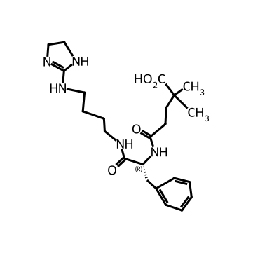 CC(C)(CCC(=O)N[C@H](Cc1ccccc1)C(=O)NCCCCNC1=NCCN1)C(=O)O